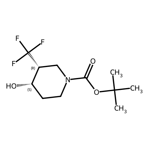 CC(C)(C)OC(=O)N1CC[C@H](O)[C@H](C(F)(F)F)C1